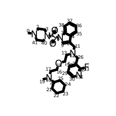 CN1CCN(S(=O)(=O)n2cc(CN(CCOCCN(C)C3CCCCC3)Cc3cccnc3F)c3ccccc32)CC1